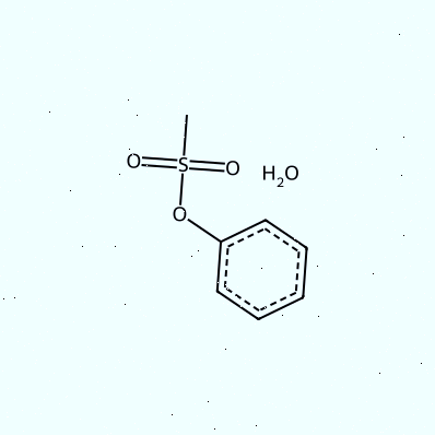 CS(=O)(=O)Oc1ccccc1.O